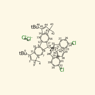 CC(C)(C)C1=CC(C)(C)c2cc3c(cc21)-c1cc2c(cc1[CH]3[Zr+2](=[CH]c1ccc(Cl)cc1)(=[CH]c1ccc(Cl)cc1)[C]1=CC=CC1)C(C)(C)C=C2C(C)(C)C.[Cl-].[Cl-]